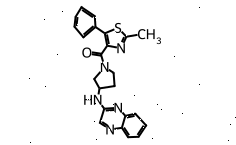 Cc1nc(C(=O)N2CCC(Nc3cnc4ccccc4n3)C2)c(-c2ccccc2)s1